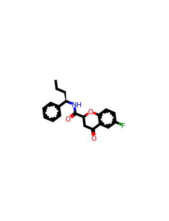 CCC[C@@H](NC(=O)C1CC(=O)c2cc(F)ccc2O1)c1ccccc1